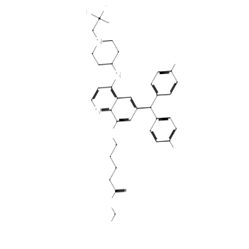 CCOC(=O)CCCCOc1cc(C(c2ccc(Cl)cc2)c2ccc(Cl)cc2)cc2c(NC3CCN(CC(F)(F)F)CC3)ccnc12